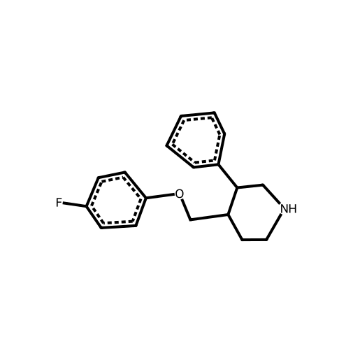 Fc1ccc(OCC2CCNCC2c2ccccc2)cc1